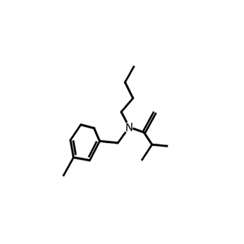 C=C(C(C)C)N(CCCC)CC1=CC(C)=CCC1